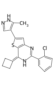 Cc1[nH]ncc1-c1cc2c(s1)C(=C1CCC1)NC(c1ccccc1Cl)=N2